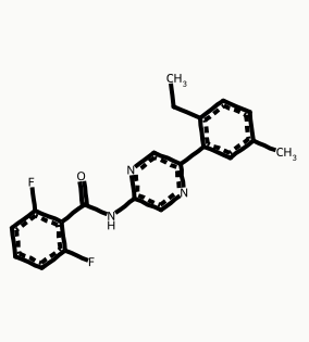 CCc1ccc(C)cc1-c1cnc(NC(=O)c2c(F)cccc2F)cn1